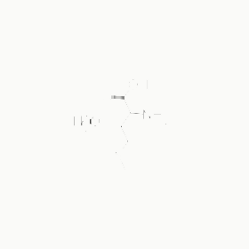 CSCCC(N)C(=O)O.O.[Zn]